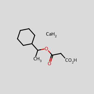 CC(OC(=O)CC(=O)O)C1CCCCC1.[CaH2]